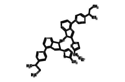 CCC(C)c1ccc(-c2cccc3c2C=C(c2ccc(C)s2)[CH]3[Zr+2][CH]2C(c3ccc(C)s3)=Cc3c(-c4ccc(C(C)CC)cc4)cccc32)cc1.[Cl-].[Cl-]